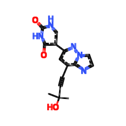 CC(C)(O)C#Cc1cc(-c2c[nH]c(=O)[nH]c2=O)nn2ccnc12